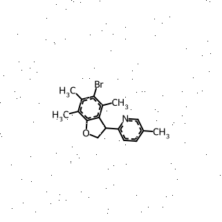 Cc1ccc(C2COc3c(C)c(C)c(Br)c(C)c32)nc1